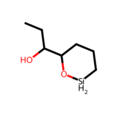 CCC(O)C1CCC[SiH2]O1